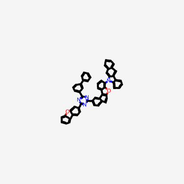 c1ccc(-c2cccc(-c3nc(-c4ccc5c(c4)oc4ccccc45)nc(-c4ccc5ccc6oc7c(-n8c9ccccc9c9cc%10ccccc%10cc98)cccc7c6c5c4)n3)c2)cc1